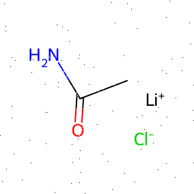 CC(N)=O.[Cl-].[Li+]